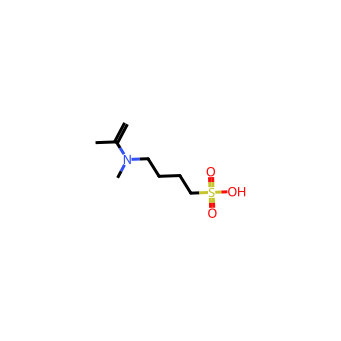 C=C(C)N(C)CCCCS(=O)(=O)O